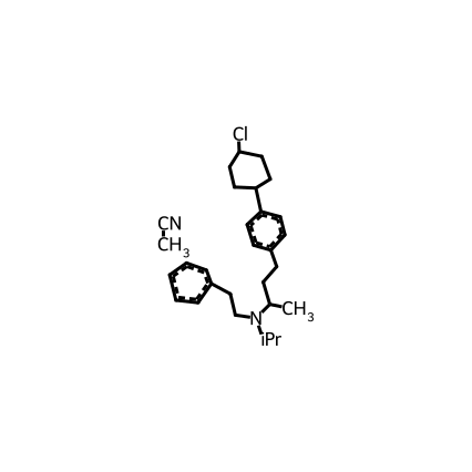 CC#N.CC(C)N(CCc1ccccc1)C(C)CCc1ccc(C2CCC(Cl)CC2)cc1